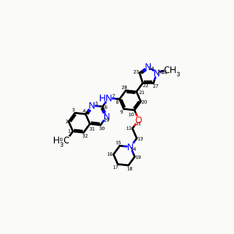 Cc1ccc2nc(Nc3cc(OCCN4CCCCC4)cc(-c4cnn(C)c4)c3)ncc2c1